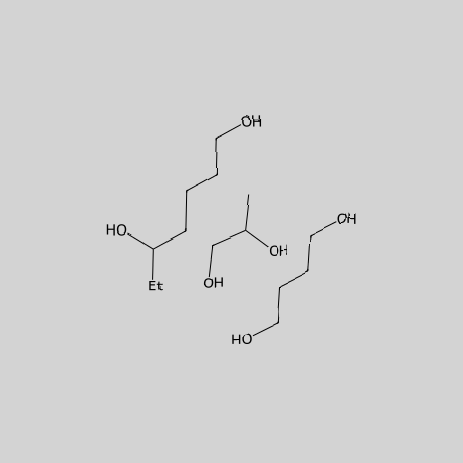 CC(O)CO.CCC(O)CCCCO.OCCCCO